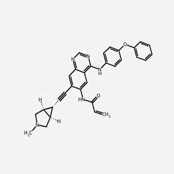 C=CC(=O)Nc1cc2c(Nc3ccc(Oc4ccccc4)cc3)ncnc2cc1C#C[C@@H]1[C@H]2CN(C)C[C@@H]12